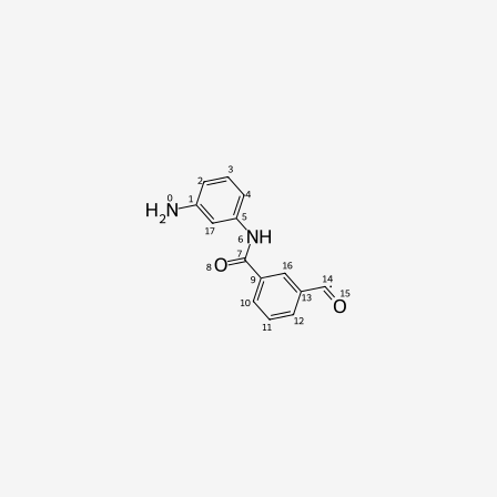 Nc1cccc(NC(=O)c2cccc([C]=O)c2)c1